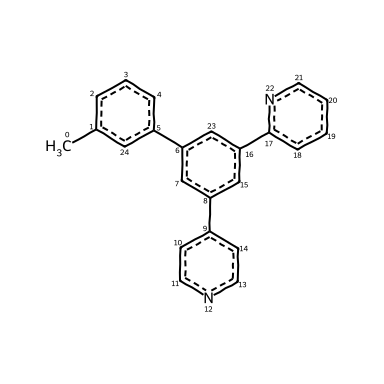 Cc1cccc(-c2cc(-c3ccncc3)cc(-c3ccccn3)c2)c1